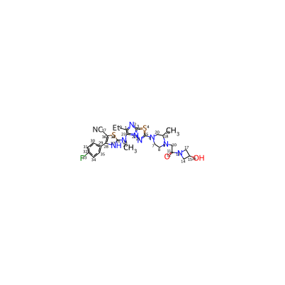 CCc1nc2sc(N3CCN(CC(=O)N4CC(O)C4)C(C)C3)nn2c1N(C)C1NC(c2ccc(F)cc2)=C(C#N)S1